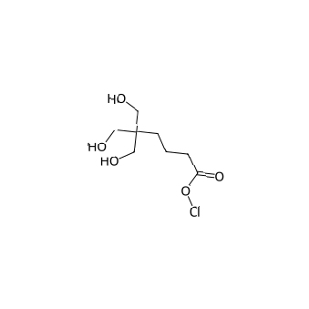 O=C(CCCC(CO)(CO)CO)OCl